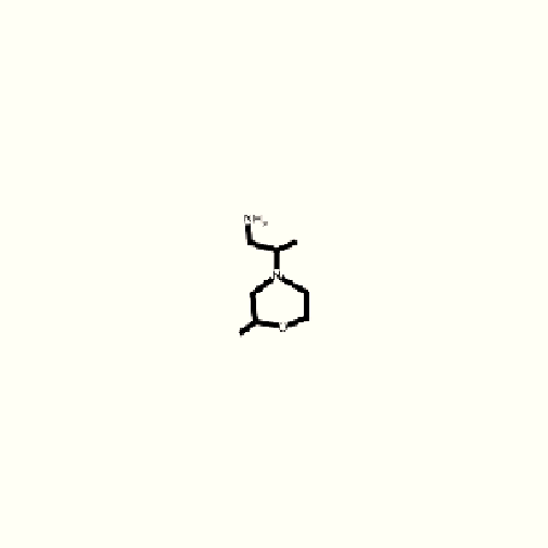 CC1CN(C(C)CN)CCO1